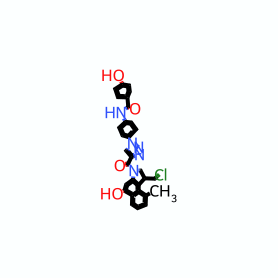 Cc1cccc2c(O)cc3c(c12)C(CCl)CN3C(=O)c1cn(-c2ccc(NC(=O)c3ccc(O)cc3)cc2)nn1